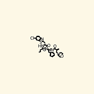 C=C(CN1CCOCC1)C(=O)NC[C@H](Cc1ccccc1)NC(=O)[C@H](Cc1nc2ccc(Cl)cc2s1)NC(=O)CCC